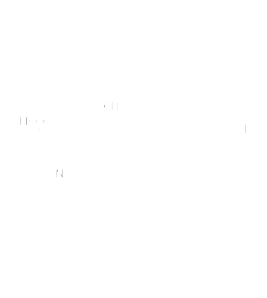 Cc1c(-c2ccc(Cl)cc2)ccnc1C(=O)O